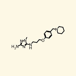 Cn1nc(N)nc1NCCCOc1ccc(CN2CCCCC2)cc1